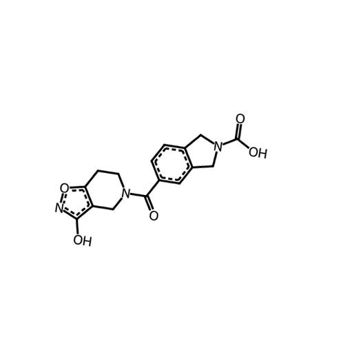 O=C(O)N1Cc2ccc(C(=O)N3CCc4onc(O)c4C3)cc2C1